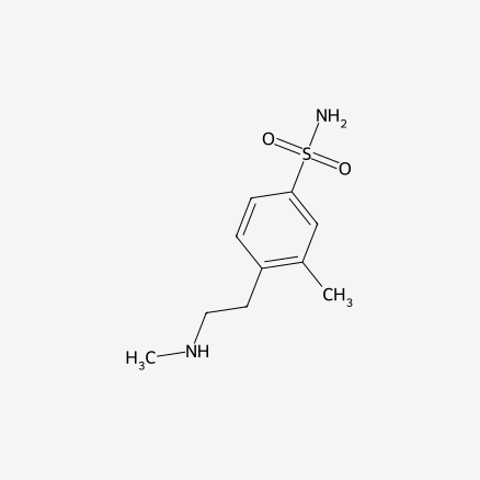 CNCCc1ccc(S(N)(=O)=O)cc1C